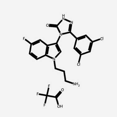 NCCCn1cc(-n2c(-c3cc(Cl)cc(Cl)c3)n[nH]c2=O)c2cc(F)ccc21.O=C(O)C(F)(F)F